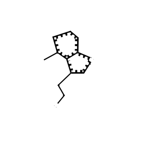 Cc1cccc2[nH]cc(CCN)c12.Cl